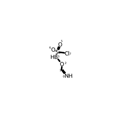 N=COBS(=O)(=O)Cl